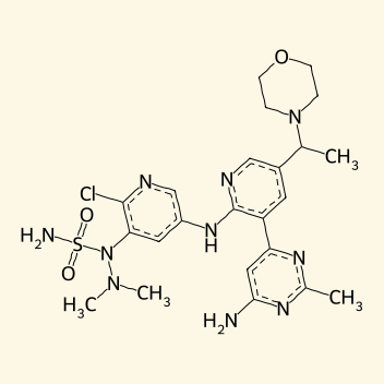 Cc1nc(N)cc(-c2cc(C(C)N3CCOCC3)cnc2Nc2cnc(Cl)c(N(N(C)C)S(N)(=O)=O)c2)n1